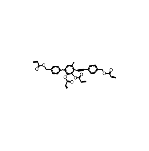 C=CC(=O)OCc1ccc(C#Cc2c(C)cc(-c3ccc(COC(=O)C=C)cc3)c(OC(=O)C=C)c2OC(=O)C=C)cc1